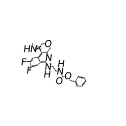 CN[C@H]1COCc2nc(NCCNC(=O)OCc3ccccc3)c3cc(F)c(F)cc3c21